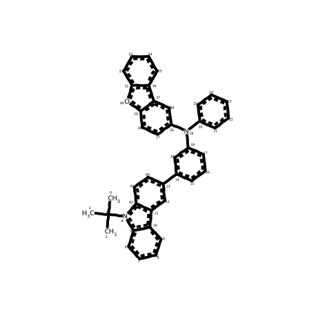 CC(C)(C)n1c2ccccc2c2cc(-c3cccc(N(c4ccccc4)c4ccc5oc6ccccc6c5c4)c3)ccc21